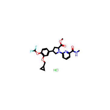 CNC(=O)c1cccc(N2CC(c3ccc(OC(F)F)c(OCC4CC4)c3)CC2C(=O)OC)n1.Cl